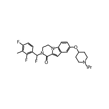 Cc1c(F)ccc(C(F)N2CCn3c(cc4cc(OC5CCN(C(C)C)CC5)ccc43)C2=O)c1F